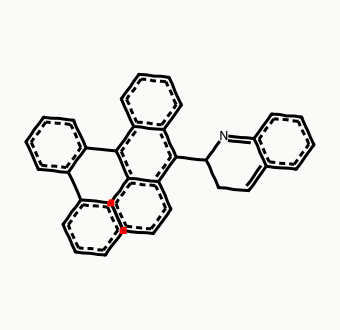 C1=c2ccccc2=NC(c2c3ccccc3c(-c3ccccc3-c3ccccc3)c3ccccc23)C1